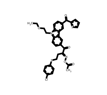 CCOCCn1c2ccc(C(=O)/C(CCSc3ccc(Cl)cc3)=N/OC(C)=O)cc2c2cc(C(=O)c3cccs3)ccc21